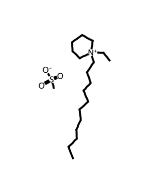 CCCCCCCCCCC[N+]1(CC)CCCCC1.CS(=O)(=O)[O-]